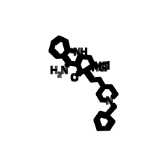 Cl.Cl.NC1=C2C=CC=CC=C2NC2=C1C(=O)/C(=C/CC1CCN(Cc3ccccc3)CC1)CC2